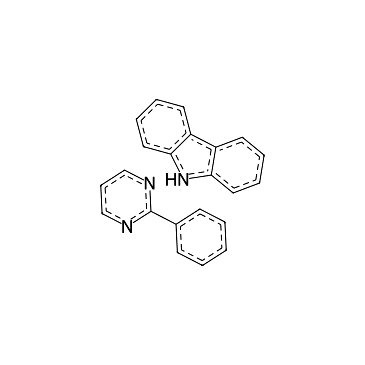 c1ccc(-c2ncccn2)cc1.c1ccc2c(c1)[nH]c1ccccc12